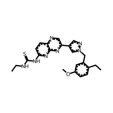 CCNC(=S)Nc1ccc2ncc(-c3cnn(Cc4cc(OC)ccc4CC)c3)nc2n1